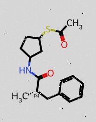 CC(=O)SC1CCC(NC(=O)[C@@H](C)Cc2ccccc2)C1